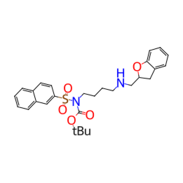 CC(C)(C)OC(=O)N(CCCCNCC1Cc2ccccc2O1)S(=O)(=O)c1ccc2ccccc2c1